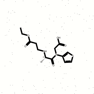 CCOC(=O)CCN[C@@H](C)C(=O)N(CC(=O)O)c1ccsc1